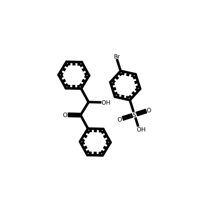 O=C(c1ccccc1)C(O)c1ccccc1.O=S(=O)(O)c1ccc(Br)cc1